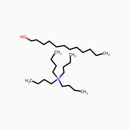 CCCCCCCCCCCCO.CCCC[N+](CCCC)(CCCC)CCCC